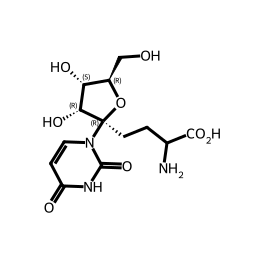 NC(CC[C@@]1(n2ccc(=O)[nH]c2=O)O[C@H](CO)[C@@H](O)[C@H]1O)C(=O)O